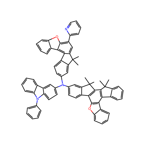 CC1(C)c2cc(N(c3ccc4c(c3)C(C)(C)c3c5c(c6c(oc7ccccc76)c3-4)-c3ccccc3C5(C)C)c3ccc4c(c3)c3ccccc3n4-c3ccccc3)ccc2-c2c1cc(-c1ccccn1)c1oc3ccccc3c21